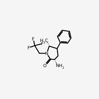 C[C@@H]1C(c2ccccc2)C[C@H](N)C(=O)N1CC(F)(F)F